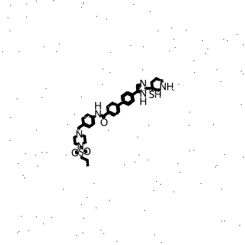 CCCS(=O)(=O)N1CCN(CC2=CC=C(NC(=O)C3=CC=C(c4ccc(-c5cnc([C@]6(S)CCCNC6)[nH]5)cc4)CC3)CC2)CC1